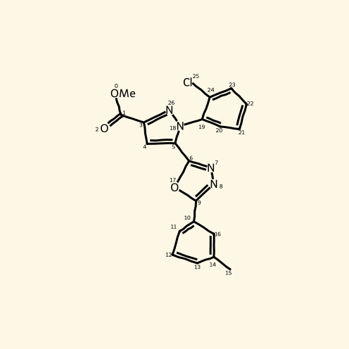 COC(=O)c1cc(-c2nnc(-c3cccc(C)c3)o2)n(-c2ccccc2Cl)n1